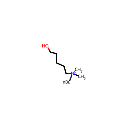 CCCC[N+](C)(C)CCCCCO